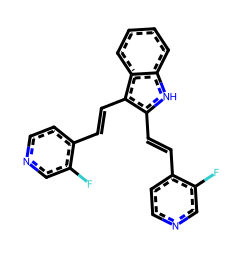 Fc1cnccc1/C=C/c1[nH]c2ccccc2c1/C=C/c1ccncc1F